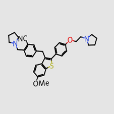 COc1ccc2c(Cc3ccc(CN4CCCC4)c(C#N)c3)c(-c3ccc(OCCN4CCCC4)cc3)sc2c1